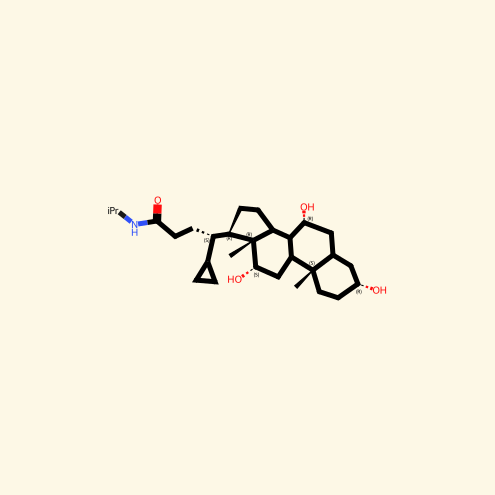 CC(C)NC(=O)CC[C@@H](C1CC1)[C@H]1CCC2C3C(C[C@H](O)[C@@]21C)[C@@]1(C)CC[C@@H](O)CC1C[C@H]3O